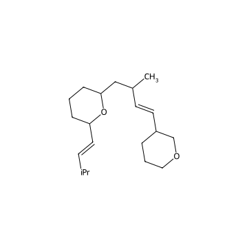 CC(C)/C=C/C1CCCC(CC(C)/C=C/C2CCCOC2)O1